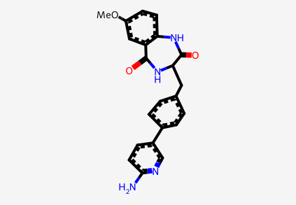 COc1ccc2c(c1)C(=O)NC(Cc1ccc(-c3ccc(N)nc3)cc1)C(=O)N2